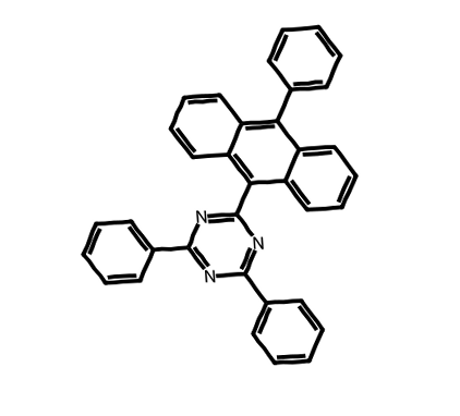 c1ccc(-c2nc(-c3ccccc3)nc(-c3c4ccccc4c(-c4ccccc4)c4ccccc34)n2)cc1